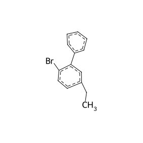 CCc1ccc(Br)c(-c2ccccc2)c1